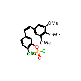 COc1ccc(/C=C\c2cc(OC)c(OC)c(OC)c2)cc1OP(=O)(Cl)Cl